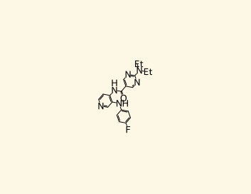 CCN(CC)c1ncc(C(=O)Nc2ccncc2Nc2ccc(F)cc2)cn1